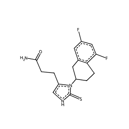 NC(=O)CCc1c[nH]c(=S)n1C1CCc2c(F)cc(F)cc2C1